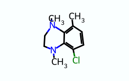 Cc1ccc(Cl)c2c1N(C)CCN2C